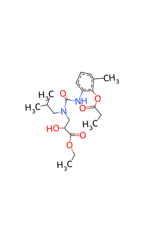 CCOC(=O)C(O)CN(CC(C)C)C(=O)Nc1cccc(C)c1OC(=O)CC